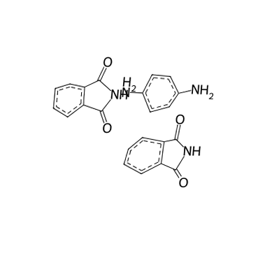 Nc1ccc(N)cc1.O=C1NC(=O)c2ccccc21.O=C1NC(=O)c2ccccc21